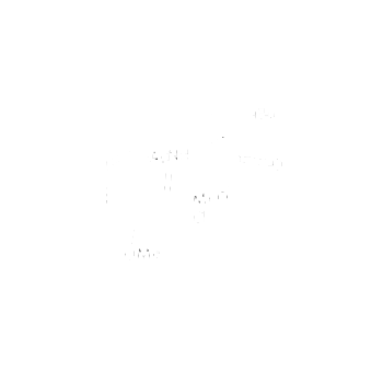 CCC(C)C(C)(NC(C)=O)C(=O)OC.COc1ccccc1Cl